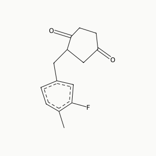 Cc1ccc(CC2CC(=O)CCC2=O)cc1F